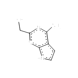 CCc1nc(N)c2cc[nH]c2n1